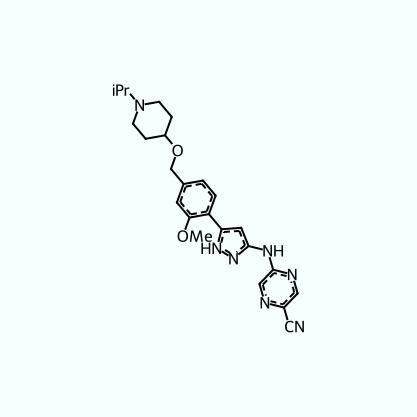 COc1cc(COC2CCN(C(C)C)CC2)ccc1-c1cc(Nc2cnc(C#N)cn2)n[nH]1